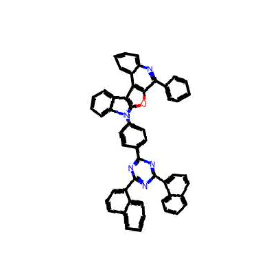 c1ccc(-c2nc3ccccc3c3c2oc2c3c3ccccc3n2-c2ccc(-c3nc(-c4cccc5ccccc45)nc(-c4cccc5ccccc45)n3)cc2)cc1